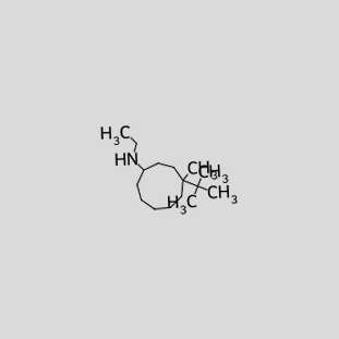 CCNC1CCCCCC(C)(C(C)(C)C)CC1